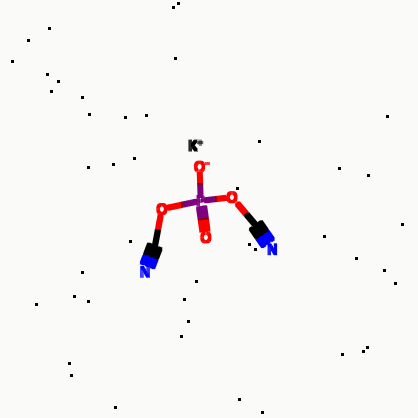 N#COP(=O)([O-])OC#N.[K+]